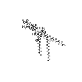 CCCCCCCCCCCCCC(=O)O[C@H](CCCCCCCCCCC)CC(=O)O[C@H]1O[C@H](COC(=O)CCCCCCCCC)[C@@H](O)[C@@H](OC(C)C(=O)N[C@@H](C)C(=O)N[C@H](CCC(=O)OC)C(N)=O)[C@H]1NC(C)=O